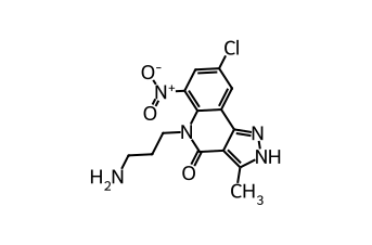 Cc1[nH]nc2c1c(=O)n(CCCN)c1c([N+](=O)[O-])cc(Cl)cc21